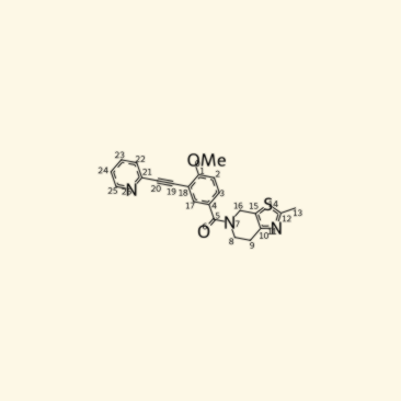 COc1ccc(C(=O)N2CCc3nc(C)sc3C2)cc1C#Cc1ccccn1